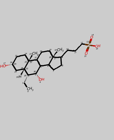 CC[C@H]1[C@@H](O)C2C3CCC(CCCS(=O)(=O)O)[C@@]3(C)CCC2[C@@]2(C)CC[C@@H](O)C[C@@H]12